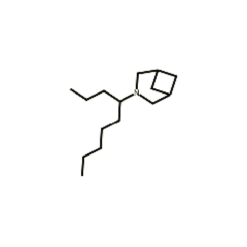 CCCCCC(CCC)N1CC2CC(C2)C1